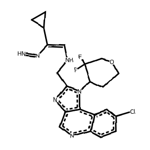 N=N/C(=C\NCc1nc2cnc3ccc(Cl)cc3c2n1C1CCOCC1(F)F)C1CC1